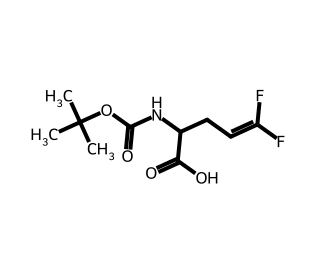 CC(C)(C)OC(=O)NC(CC=C(F)F)C(=O)O